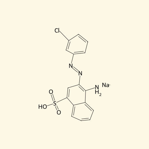 Nc1c(N=Nc2cccc(Cl)c2)cc(S(=O)(=O)O)c2ccccc12.[Na]